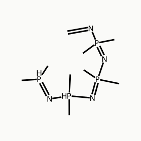 C=NP(C)(C)=NP(C)(C)=N[PH](C)(C)N=[PH](C)C